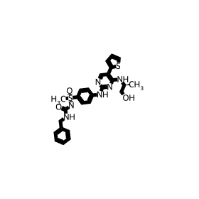 C[C@H](CO)Nc1nc(Nc2ccc(S(C)(=O)=NC(=O)NCc3ccccc3)cc2)ncc1-c1cccs1